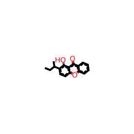 CCC(C)c1ccc2oc3ccccc3c(=O)c2c1O